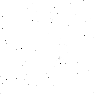 C=C(NCCSP1N(c2ccccc2)CCN1c1ccccc1)Nc1ccccc1